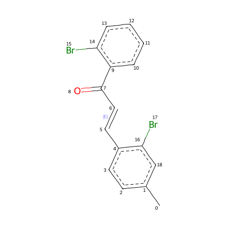 Cc1ccc(/C=C/C(=O)c2ccccc2Br)c(Br)c1